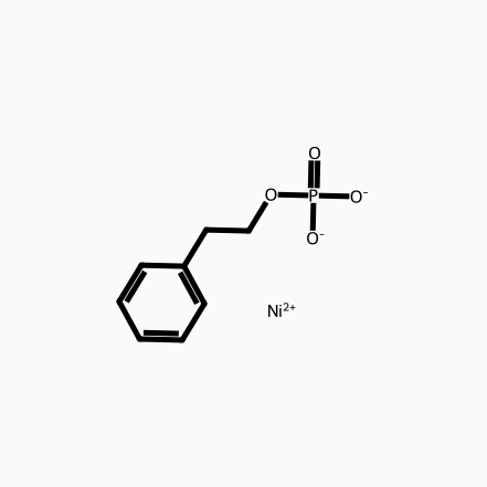 O=P([O-])([O-])OCCc1ccccc1.[Ni+2]